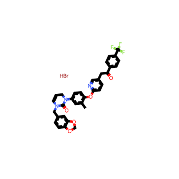 Br.Cc1cc(N2CC=CN(Cc3ccc4c(c3)OCO4)C2=O)ccc1Oc1ccc(CC(=O)c2ccc(C(F)(F)F)cc2)cn1